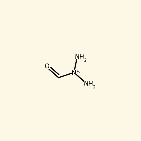 N[N+](N)C=O